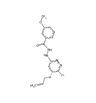 C=CCOc1cc(NNC(=O)c2cccc(OC(F)(F)F)c2)nnc1Cl